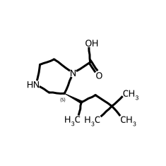 CC(CC(C)(C)C)[C@H]1CNCCN1C(=O)O